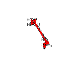 CN(C(=O)c1ccc(Cl)c(-c2ccc(C(F)(F)F)nc2)c1)c1ccccc1OCCC(=O)NCCOCCOCCOCCOCCOCCOCCOCCOCCNC(=O)CN1CCN(CC=O)CCN(CC(=O)O)CCN(CC(=O)O)CC1